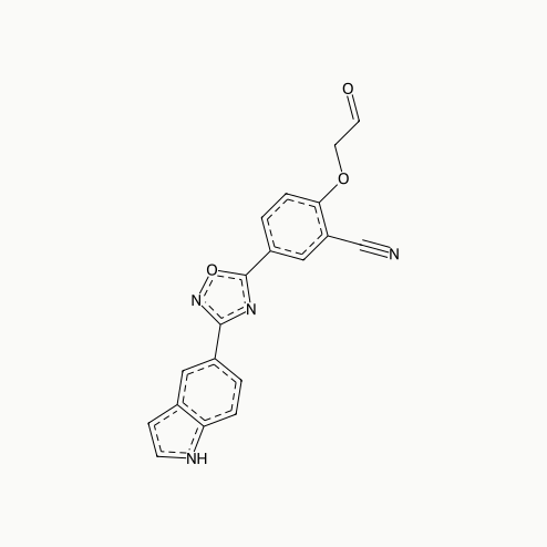 N#Cc1cc(-c2nc(-c3ccc4[nH]ccc4c3)no2)ccc1OCC=O